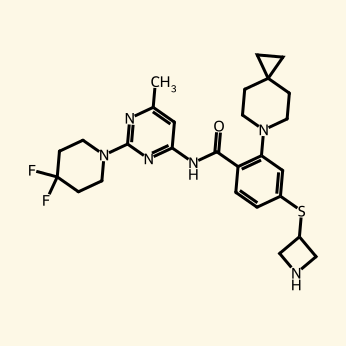 Cc1cc(NC(=O)c2ccc(SC3CNC3)cc2N2CCC3(CC2)CC3)nc(N2CCC(F)(F)CC2)n1